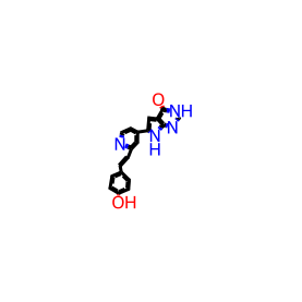 O=c1[nH]cnc2[nH]c(-c3ccnc(C=Cc4ccc(O)cc4)c3)cc12